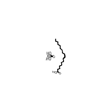 CCCCCCCC/C=C\CCCCCCCC(=O)O.O=C(O)O.[KH]